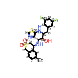 CCc1ccc2c(c1)C(NCC(O)C(Cc1cc(F)cc(F)c1)Nc1cncs1)CS(=O)(=O)C2